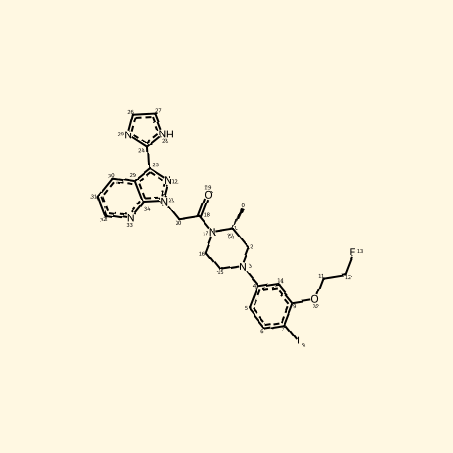 C[C@H]1CN(c2ccc(I)c(OCCF)c2)CCN1C(=O)Cn1nc(-c2ncc[nH]2)c2cccnc21